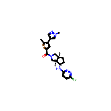 Cc1sc(C(=O)N2C[C@@H]3CC[C@@H](Nc4ccc(Br)nn4)[C@@H]3C2)cc1-c1cnn(C)c1